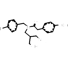 CC(C)COc1ccc(CC(=O)N(Cc2ccc(F)cc2)CC(CN)CO)cc1